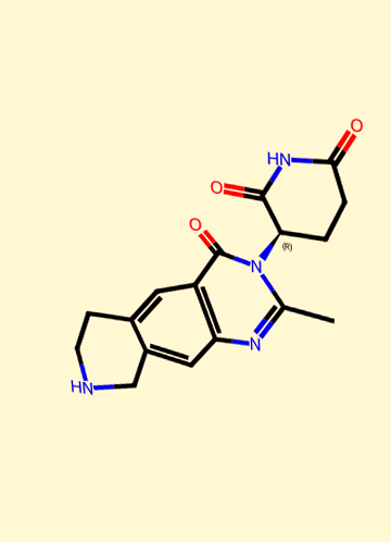 Cc1nc2cc3c(cc2c(=O)n1[C@@H]1CCC(=O)NC1=O)CCNC3